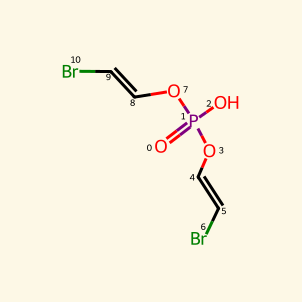 O=P(O)(OC=CBr)OC=CBr